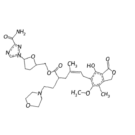 COc1c(C)c2c(c(O)c1CC=C(C)CC(CCN1CCOCC1)C(=O)OCC1CCC(n3cnc(C(N)=O)n3)O1)C(=O)OC2